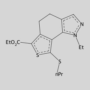 CCCSc1sc(C(=O)OCC)c2c1-c1c(cnn1CC)CC2